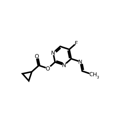 C/C=N/c1nc(OC(=O)C2CC2)ncc1F